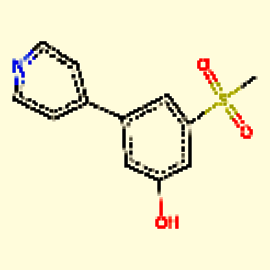 CS(=O)(=O)c1cc(O)cc(-c2ccncc2)c1